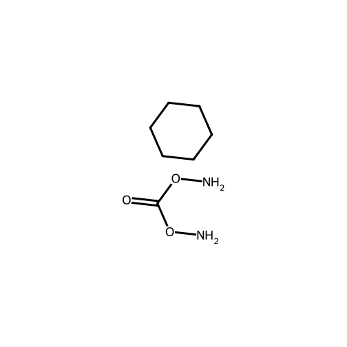 C1CCCCC1.NOC(=O)ON